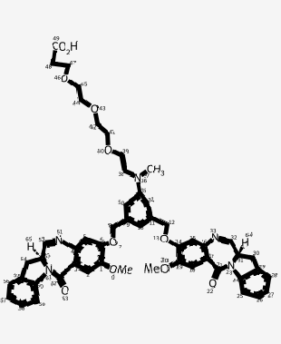 COc1cc2c(cc1OCc1cc(COc3cc4c(cc3OC)C(=O)N3c5ccccc5C[C@H]3C=N4)cc(N(C)CCOCCOCCOCCC(=O)O)c1)N=C[C@@H]1Cc3ccccc3N1C2=O